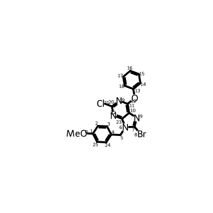 COc1ccc(Cn2c(Br)nc3c(Oc4ccccc4)nc(Cl)nc32)cc1